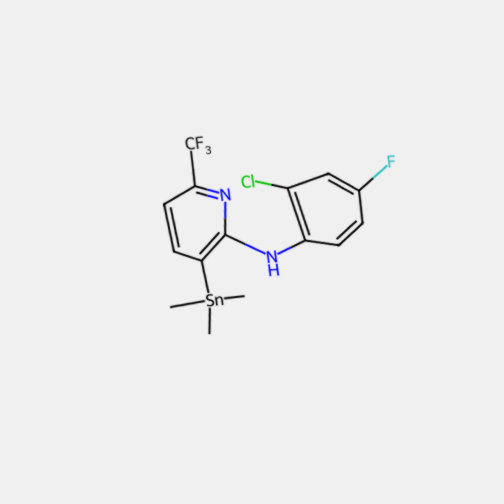 [CH3][Sn]([CH3])([CH3])[c]1ccc(C(F)(F)F)nc1Nc1ccc(F)cc1Cl